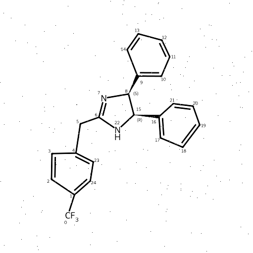 FC(F)(F)c1ccc(CC2=N[C@@H](c3ccccc3)[C@@H](c3ccccc3)N2)cc1